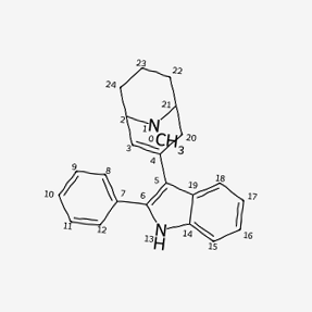 CN1C2C=C(c3c(-c4ccccc4)[nH]c4ccccc34)CC1CCC2